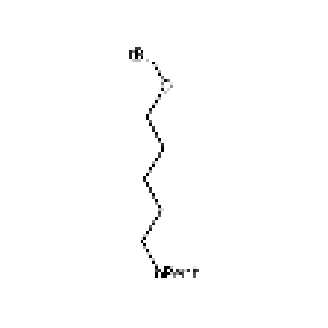 [CH2]C(C)(C)OCCCCCCCCCC